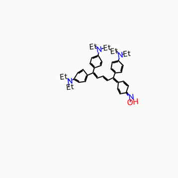 CCN(CC)c1ccc(C(=CC=CC(=C2C=CC(=NO)C=C2)c2ccc(N(CC)CC)cc2)c2ccc(N(CC)CC)cc2)cc1